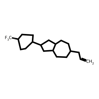 C=CCC1CCC2CC(C3CCC(C(F)(F)F)CC3)CC2CC1